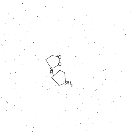 C1CC[SiH2]C1.C1C[SiH2]OO1